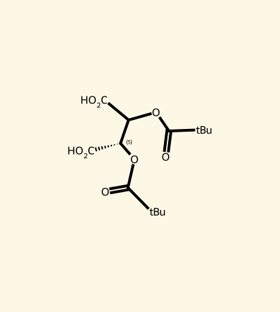 CC(C)(C)C(=O)OC(C(=O)O)[C@H](OC(=O)C(C)(C)C)C(=O)O